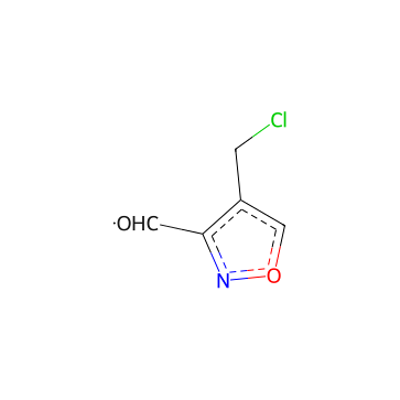 O=[C]c1nocc1CCl